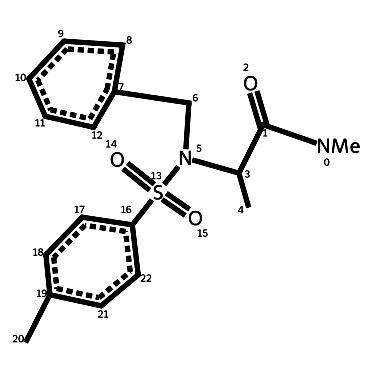 CNC(=O)C(C)N(Cc1ccccc1)S(=O)(=O)c1ccc(C)cc1